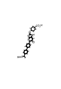 COC(C)c1ccc(-c2ccc(-c3nc4nc(O[C@H]5CC[C@H](C(=O)O)CC5)[nH]c4cc3Cl)cc2)cc1